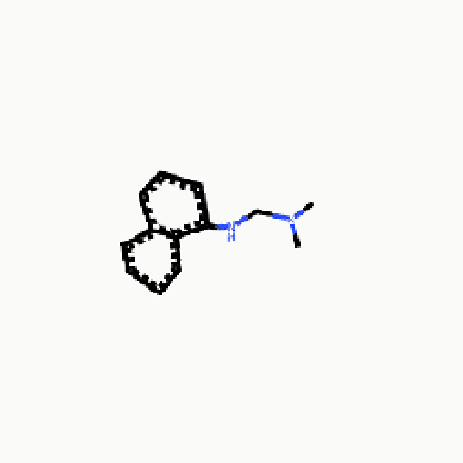 CN(C)CNc1cccc2ccccc12